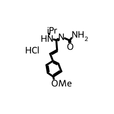 COc1ccc(/C=C/C(=N\C(N)=O)NC(C)C)cc1.Cl